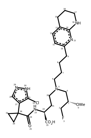 CO[C@H](CF)CN(CCCCc1ccc2c(n1)NCCC2)CC[C@H](NC(=O)C1(c2cn[nH]c2Cl)CC1)C(=O)O